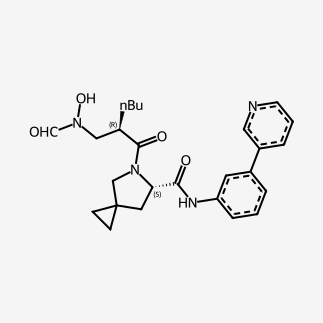 CCCC[C@H](CN(O)C=O)C(=O)N1CC2(CC2)C[C@H]1C(=O)Nc1cccc(-c2cccnc2)c1